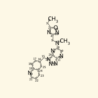 CCc1nc(CN(C)c2cnc3nnn(Cc4ccc5ncccc5c4)c3n2)no1